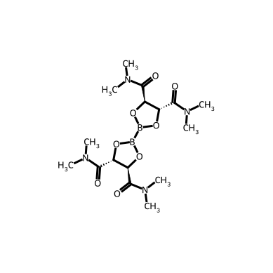 CN(C)C(=O)[C@@H]1OB(B2O[C@@H](C(=O)N(C)C)[C@H](C(=O)N(C)C)O2)O[C@H]1C(=O)N(C)C